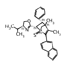 CC1=C(c2ccc3ccccc3c2)[P@]2(=S)C[C@]1(C)[C@@H](c1ccccc1)[C@H]2C1=N[C@@H](C(C)C)CO1